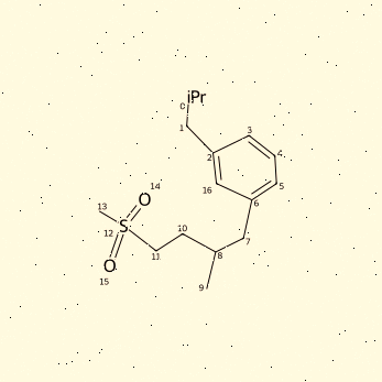 CC(C)Cc1cccc(CC(C)CCS(C)(=O)=O)c1